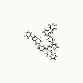 c1ccc(-c2nc3ccc(-c4cccc(-c5nc6c(-c7ccc(-c8cccc9c8sc8ccccc89)cc7)cccc6c6c5ccc5ccccc56)c4)cc3s2)cc1